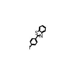 Ic1ccc(-c2nc3ccccc3s2)cc1